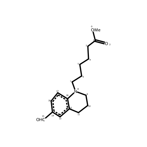 COC(=O)CCCCCN1CCCc2cc(C=O)ccc21